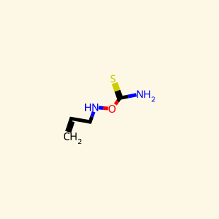 C=CCNOC(N)=S